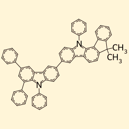 CC1(C)c2ccccc2-c2c1ccc1c3cc(-c4ccc5c(c4)c4cc(-c6ccccc6)cc(-c6ccccc6)c4n5-c4ccccc4)ccc3n(-c3ccccc3)c21